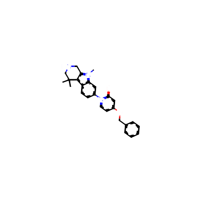 Cn1c2c(c3ccc(-n4ccc(OCc5ccccc5)cc4=O)cc31)C(C)(C)CNC2